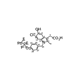 Cc1c(CC(=O)O)c2cc(O)c(Cl)cc2n1Cc1ccc(OC(F)(F)C(F)F)cc1